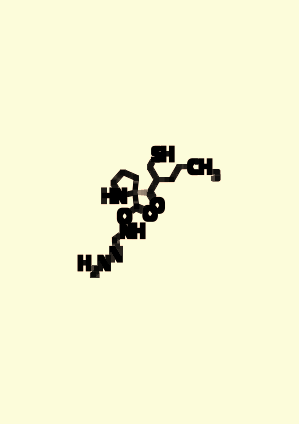 CCCC(CS)C(=O)[C@@]1(C(=O)ONC=NN)CCCN1